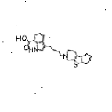 O=C(O)c1cccc2c(CCCCN3CCc4c(sc5ccccc45)C3)c[nH]c12